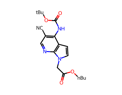 CCCCOC(=O)Cn1ccc2c(NC(=O)OC(C)(C)C)c(C#N)cnc21